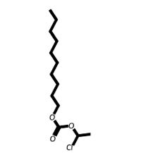 CCCCCCCCCCOC(=O)OC(C)Cl